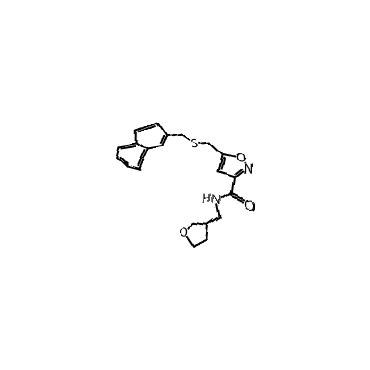 O=C(NCC1CCOC1)c1cc(CSCc2ccc3ccccc3c2)on1